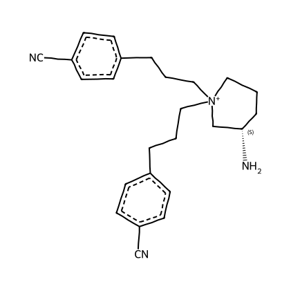 N#Cc1ccc(CCC[N+]2(CCCc3ccc(C#N)cc3)CCC[C@H](N)C2)cc1